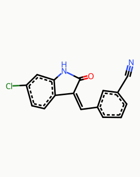 N#Cc1cccc(C=C2C(=O)Nc3cc(Cl)ccc32)c1